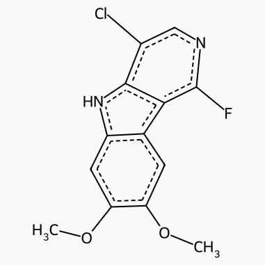 COc1cc2[nH]c3c(Cl)cnc(F)c3c2cc1OC